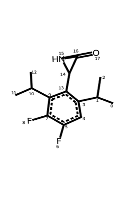 CC(C)c1cc(F)c(F)c(C(C)C)c1C1NC1=O